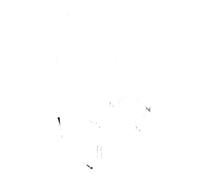 Cc1cc(N2C[C@H]3CC[C@@H](C2)[C@@H]3Nc2nc3n(n2)CCCC3c2ccc(F)c(F)c2F)sn1